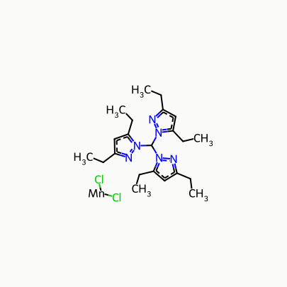 CCc1cc(CC)n(C(n2nc(CC)cc2CC)n2nc(CC)cc2CC)n1.[Cl][Mn][Cl]